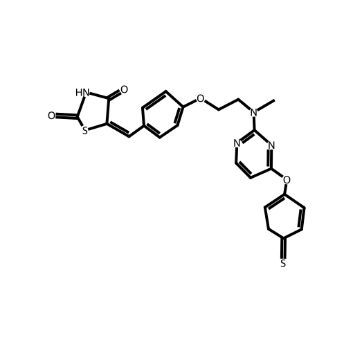 CN(CCOc1ccc(C=C2SC(=O)NC2=O)cc1)c1nccc(OC2=CCC(=S)C=C2)n1